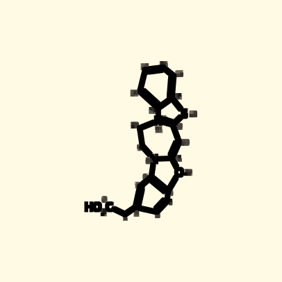 O=C(O)Cc1ccc2c(c1)N1CC[n+]3c(sc4ccccc43)C=C1O2